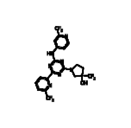 O[C@@]1(C(F)(F)F)CCN(c2nc(Nc3ccnc(C(F)(F)F)c3)nc(-c3cccc(C(F)(F)F)n3)n2)C1